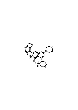 Cc1ccc2[nH]ncc2c1-c1cc2nc(N3CCOCC3)nc3c2c(c1Cl)OC[C@@H]1CNCCN31